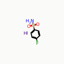 I.NS(=O)(=O)c1ccc(F)cc1